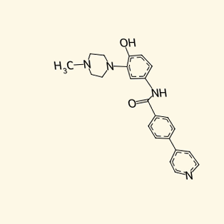 CN1CCN(c2cc(NC(=O)c3ccc(-c4ccncc4)cc3)ccc2O)CC1